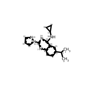 CC(C)c1ccc2nc(-n3cccn3)nc(NC3CC3)c2c1